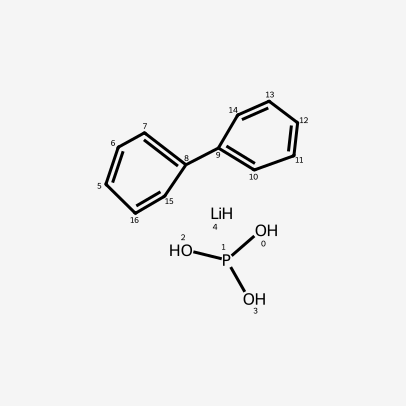 OP(O)O.[LiH].c1ccc(-c2ccccc2)cc1